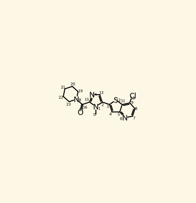 Cn1c(-c2cc3nccc(Cl)c3s2)cnc1C(=O)N1CCCCC1